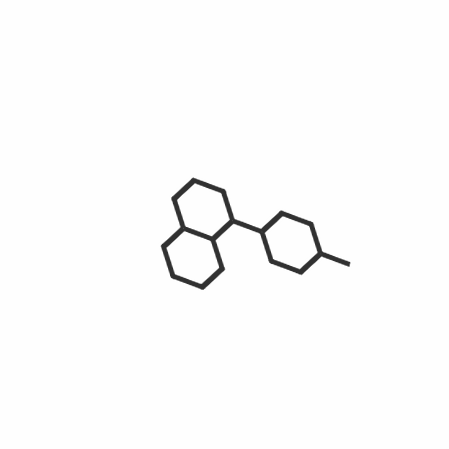 CC1CCC(C2CCCC3CCCCC32)CC1